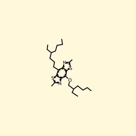 CCCCC(CC)CCCc1c2nc(C)sc2c(OCC(CC)CCCC)c2nc(C)sc12